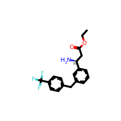 CCOC(=O)C[C@H](N)c1cccc(Cc2ccc(C(F)(F)F)cc2)c1